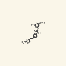 COc1cc(OC(=O)Nc2ccc(CC[C@H]3COC(N)=N3)cc2)nc(C(C)C)n1